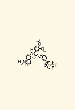 CCOc1cc(C(Nc2ccc3c(N)nccc3c2)C(=O)NCc2cccc(B(O)OC(=O)C(F)(F)F)c2)ccc1OC(C)C